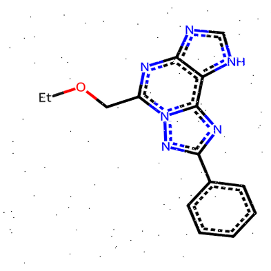 CCOCc1nc2nc[nH]c2c2nc(-c3ccccc3)nn12